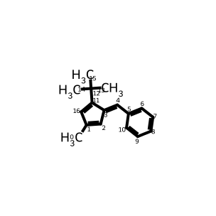 CC1=CC(=Cc2ccccc2)C(C(C)(C)C)=C1